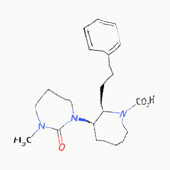 CN1CCCN([C@@H]2CCCN(C(=O)O)[C@@H]2CCc2ccccc2)C1=O